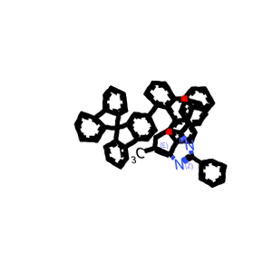 C\C1=C(c2ccc3c4ccccc4c4cccc(-c5ccc6c(c5)C5(c7ccccc7-c7ccccc75)c5ccccc5-6)c4c3c2)/N=C(c2ccccc2)\N=C(\c2ccccc2)CC1